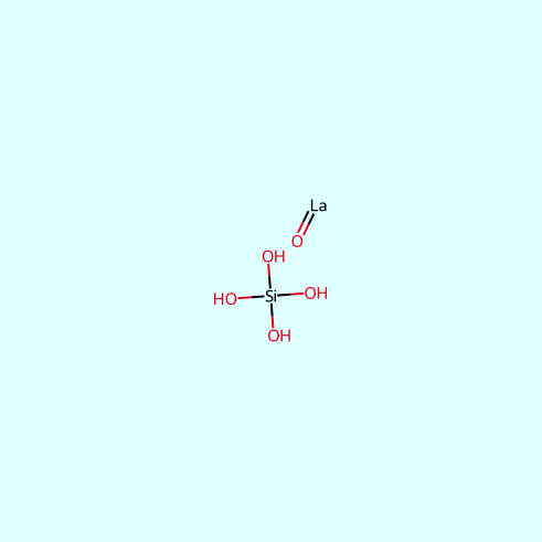 O[Si](O)(O)O.[O]=[La]